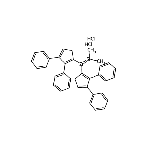 C[Si](C)=[Zr]([C]1=C(c2ccccc2)C(c2ccccc2)=CC1)[C]1=C(c2ccccc2)C(c2ccccc2)=CC1.Cl.Cl